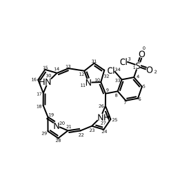 O=S(=O)(Cl)c1cccc(-c2c3nc(cc4ccc(cc5nc(cc6ccc2[nH]6)C=C5)[nH]4)C=C3)c1Cl